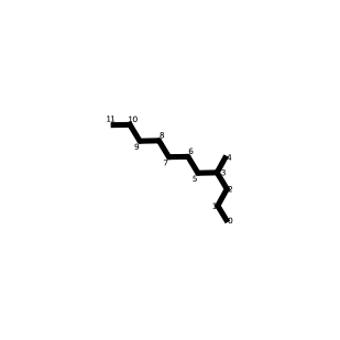 CC[CH]C(C)CCCCCCC